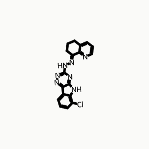 Clc1cccc2c1[nH]c1nc(N/N=C3\CCCc4cccnc43)nnc12